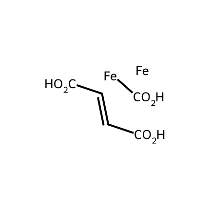 O=C(O)/C=C/C(=O)O.O=[C](O)[Fe].[Fe]